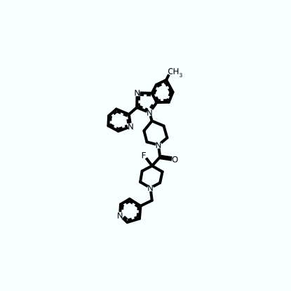 Cc1ccc2c(c1)nc(-c1ccccn1)n2C1CCN(C(=O)C2(F)CCN(Cc3ccncc3)CC2)CC1